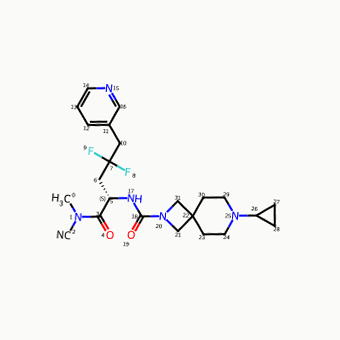 CN(C#N)C(=O)[C@H](CC(F)(F)Cc1cccnc1)NC(=O)N1CC2(CCN(C3CC3)CC2)C1